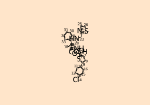 O=C(O)[C@@]1(NS(=O)(=O)c2ccc(-c3ccc(Cl)cc3)s2)C[C@@]1(CNCc1nccs1)c1ccccc1